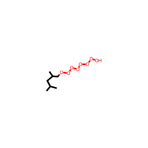 CC(C)CC(C)COOOOOOOO